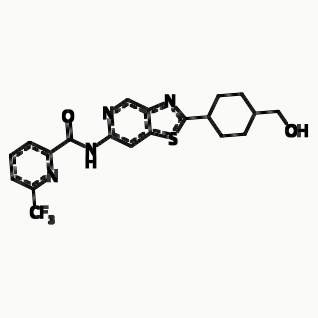 O=C(Nc1cc2sc(C3CCC(CO)CC3)nc2cn1)c1cccc(C(F)(F)F)n1